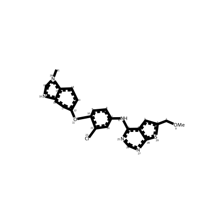 COCc1cc2c(Nc3ccc(Oc4ccc5c(c4)ncn5C)c(Cl)c3)ncnc2s1